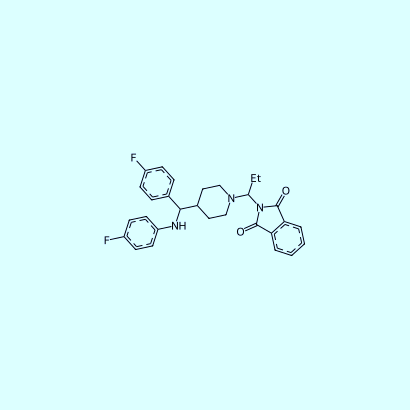 CCC(N1CCC(C(Nc2ccc(F)cc2)c2ccc(F)cc2)CC1)N1C(=O)c2ccccc2C1=O